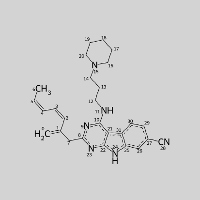 C=C(/C=C\C=C/C)Cc1nc(NCCCN2CCCCC2)c2c(n1)[nH]c1cc(C#N)ccc12